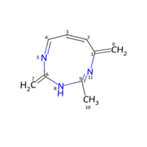 C=c1cccnc(=C)[nH]c(C)n1